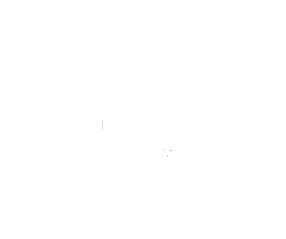 Sc1ccccc1.[Mo]